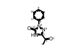 CC(=O)c1nn(-c2ccccc2)c(=O)[nH]1